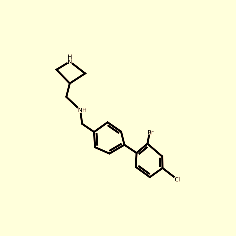 Clc1ccc(-c2ccc(CNCC3CNC3)cc2)c(Br)c1